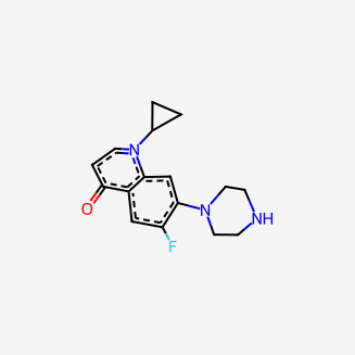 O=c1ccn(C2CC2)c2cc(N3CCNCC3)c(F)cc12